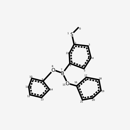 CSc1cccc(B(Oc2ccccc2)Oc2ccccc2)c1